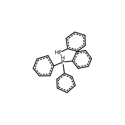 c1ccc(P[PH](c2ccccc2)(c2ccccc2)c2ccccc2)cc1